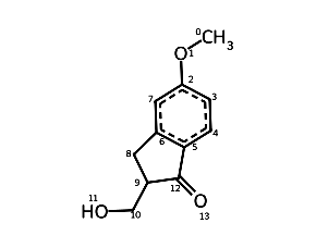 COc1ccc2c(c1)CC(CO)C2=O